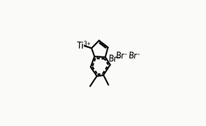 Cc1cc2c(cc1C)[CH]([Ti+3])C=C2.[Br-].[Br-].[Br-]